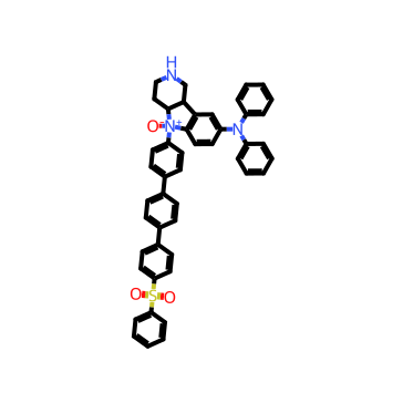 O=S(=O)(c1ccccc1)c1ccc(-c2ccc(-c3ccc([N+]4([O-])c5ccc(N(c6ccccc6)c6ccccc6)cc5C5CNCCC54)cc3)cc2)cc1